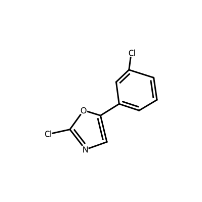 Clc1cccc(-c2cnc(Cl)o2)c1